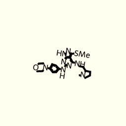 CSc1n[nH]c2nc(Nc3ccc(N4CCOCC4)cc3)nc(NCCC3CCCN3C)c12